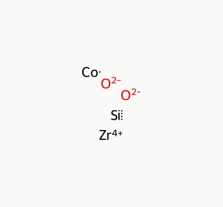 [Co].[O-2].[O-2].[Si].[Zr+4]